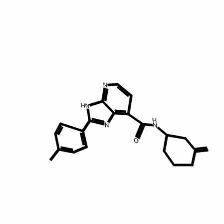 C=C1CCCC(NC(=O)c2ccnc3[nH]c(-c4ccc(C)cc4)nc23)C1